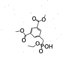 CCOP(=O)(O)Cc1cc(C(=O)OC)cc(C(=O)OC)c1